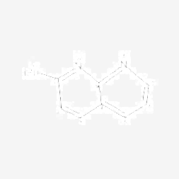 CCC(C)c1ccc2cccnc2n1